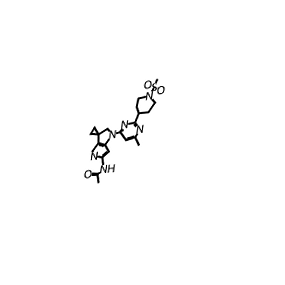 CC(=O)Nc1cc2c(cn1)C1(CC1)CN2c1cc(C)nc(C2CCN(S(C)(=O)=O)CC2)n1